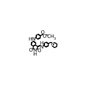 CCOC(=O)c1ccc(Nc2ccc3c(c2)C(=CNc2ccc(CN4CCCCC4)cc2)C(=O)NC3=O)cc1